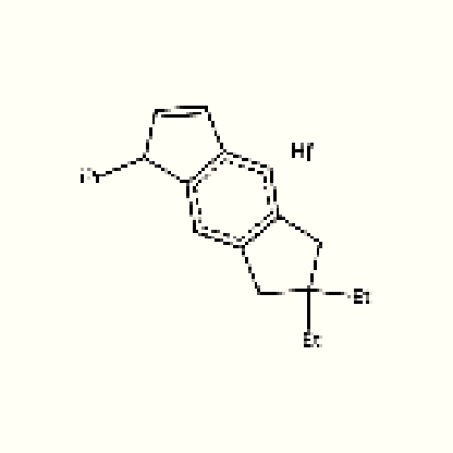 CCC1(CC)Cc2cc3c(cc2C1)[C](C(C)C)C=C3.[Hf]